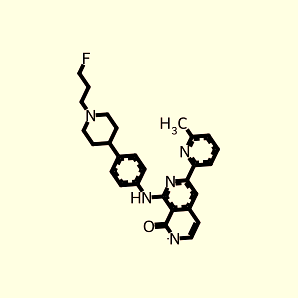 Cc1cccc(-c2cc3c(c(Nc4ccc(C5CCN(CCCF)CC5)cc4)n2)C(=O)[N]C=C3)n1